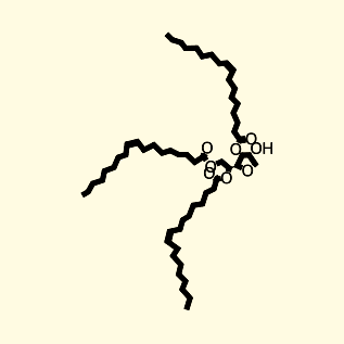 CCCCCCCC/C=C\CCCCCCCC(=O)OCC(OC(=O)CCCCCCC/C=C\CCCCCCCC)[C@H]1OC[C@@H](O)[C@@H]1OC(=O)CCCCCCC/C=C\CCCCCCCC